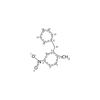 Cc1ccc([N+](=O)[O-])cc1Cc1ccccc1